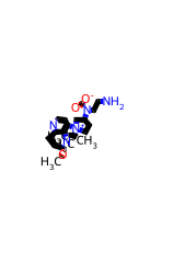 COc1ccc2nccc([N+]3(C(C)(C)C)CCC(N(CCN)C(=O)[O-])C3)c2n1